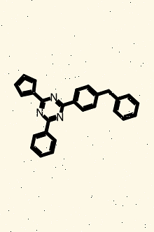 C1=CC=C(c2nc(-c3ccccc3)nc(-c3ccc(Cc4ccccc4)cc3)n2)C=1